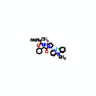 CN[C@@H](C)C(=O)N[C@H](C(=O)N1CCC[C@@H]1c1cccc(N(C)c2ccccc2F)n1)C1CCCCC1